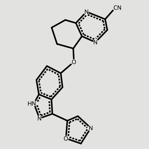 N#Cc1cnc2c(n1)CCCC2Oc1ccc2[nH]nc(-c3cnco3)c2c1